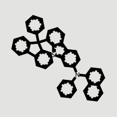 c1ccc(N(c2ccc3c(c2)sc2c(C4(c5ccccc5)c5ccccc5-c5ccccc54)cccc23)c2cccc3ccccc23)cc1